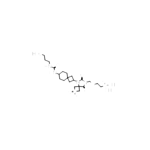 CCCCNC(=O)NC1CCC2(CC1)CC(N1C(=O)N(COCC[Si](C)(C)C)C(=O)C13CS(=O)(=O)C3)C2